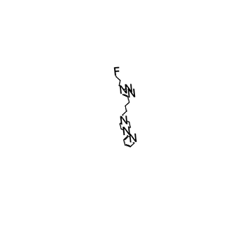 FCCCn1cc(CCCCN2CCN(c3ccccn3)CC2)nn1